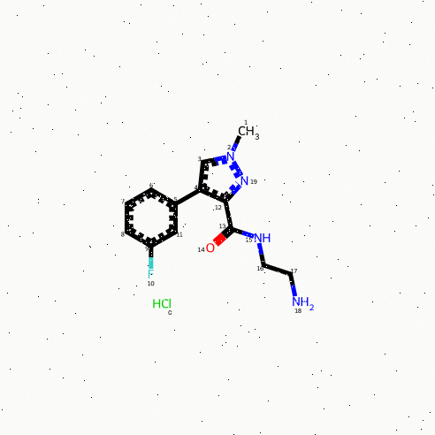 Cl.Cn1cc(-c2cccc(F)c2)c(C(=O)NCCN)n1